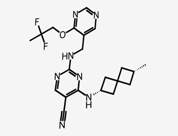 CC(F)(F)COc1ncncc1CNc1ncc(C#N)c(N[C@H]2CC3(C[C@@H](C)C3)C2)n1